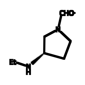 CCN[C@H]1CCN([C]=O)C1